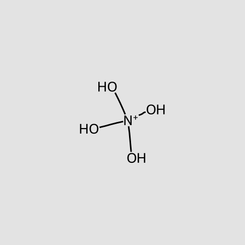 O[N+](O)(O)O